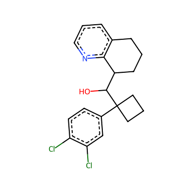 OC(C1CCCc2cccnc21)C1(c2ccc(Cl)c(Cl)c2)CCC1